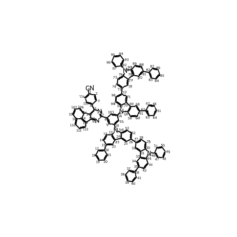 N#Cc1ccc(-c2nc(-c3cc(-n4c5ccc(-c6ccccc6)cc5c5cc(-c6ccc7c(c6)c6cc(-c8ccccc8)ccc6n7-c6ccccc6)ccc54)cc(-n4c5ccc(-c6ccccc6)cc5c5cc(-c6ccc7c(c6)c6cc(-c8ccccc8)ccc6n7-c6ccccc6)ccc54)c3)nc3c2-c2cccc4cccc-3c24)cc1